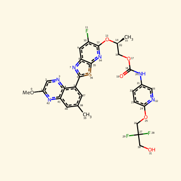 COc1cnc2c(-c3nc4cc(F)c(O[C@@H](C)COC(=O)Nc5ccc(OCC(F)(F)CO)nc5)nc4s3)cc(C)cc2n1